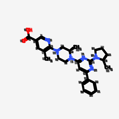 Cc1cc(C(=O)O)cnc1N1CCN(c2cc(-c3ccccc3)nc(N3CCCC3C)n2)[C@H](C)C1